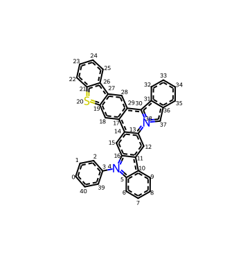 c1ccc(-n2c3ccccc3c3cc4c(cc32)c2cc3sc5ccccc5c3cc2c2c3ccccc3cn42)cc1